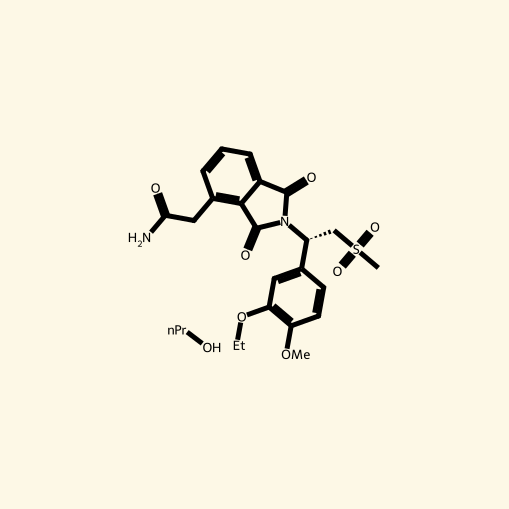 CCCO.CCOc1cc([C@@H](CS(C)(=O)=O)N2C(=O)c3cccc(CC(N)=O)c3C2=O)ccc1OC